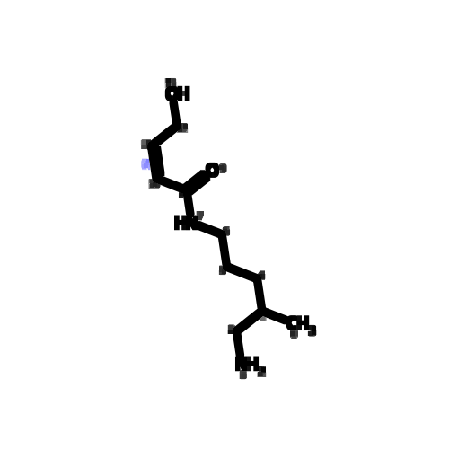 CC(CN)CCCNC(=O)/C=C\CO